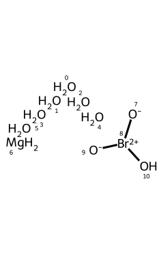 O.O.O.O.O.O.[MgH2].[O-][Br+2]([O-])O